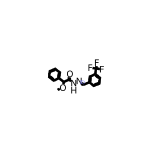 COC(C(=O)N/N=C/c1cccc(C(F)(F)F)c1)c1ccccc1